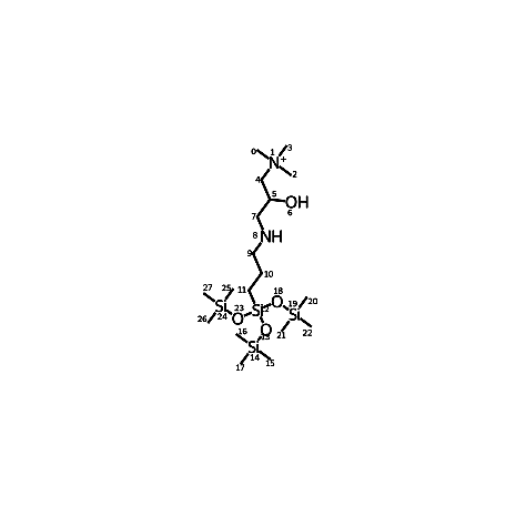 C[N+](C)(C)CC(O)CNCCC[Si](O[Si](C)(C)C)(O[Si](C)(C)C)O[Si](C)(C)C